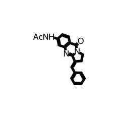 CC(=O)Nc1ccc2c(=O)n3c(nc2c1)C(=Cc1ccccc1)CC3